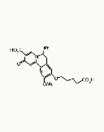 COc1cc2c(cc1OCCCCC(=O)O)CC(C(C)C)n1cc(C(=O)O)c(=O)cc1-2